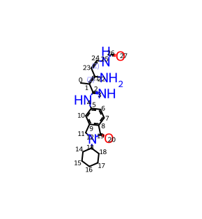 C/C(C(=N)Nc1ccc2c(c1)CN(C1CCCCC1)C2=O)=C(N)\C=C/NC=O